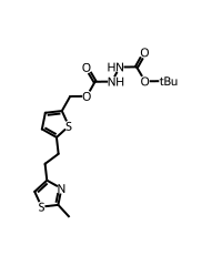 Cc1nc(CCc2ccc(COC(=O)NNC(=O)OC(C)(C)C)s2)cs1